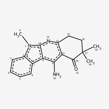 Cn1c2ccccc2c2c(N)c3c(nc21)CCC(C)(C)C3=O